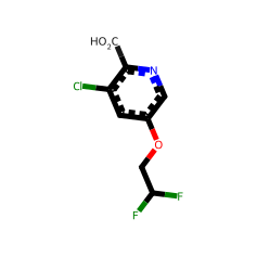 O=C(O)c1ncc(OCC(F)F)cc1Cl